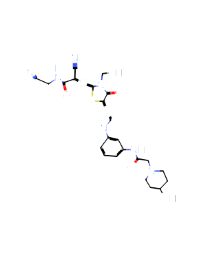 CCn1c(=C=C(C#N)C(=O)NCC#N)sc(=C=CNc2cccc(NC(=O)CN3CCC(C)CC3)c2)c1=O